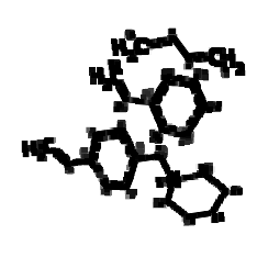 C=CC=C.C=Cc1ccc(CN2CCCCC2)cc1.C=Cc1ccccc1